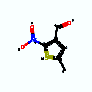 Cc1cc(C=O)c([N+](=O)[O-])s1